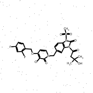 CC(C)(O)CC(=O)n1c(=O)n(S(C)(=O)=O)c2ccc(Cn3ccc(OCc4ccc(F)cc4F)c(Cl)c3=O)cc21